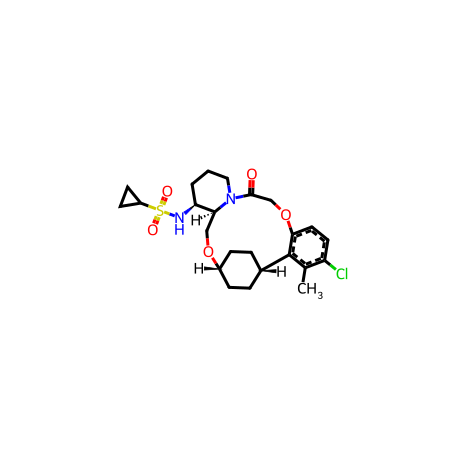 Cc1c(Cl)ccc2c1[C@H]1CC[C@H](CC1)OC[C@H]1[C@@H](NS(=O)(=O)C3CC3)CCCN1C(=O)CO2